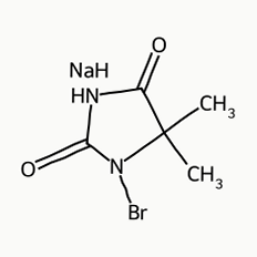 CC1(C)C(=O)NC(=O)N1Br.[NaH]